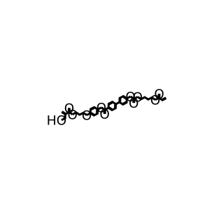 C=CC(=O)OCCCCOC(=O)Oc1ccc(-c2ccc(C(=O)Oc3ccc(OCCCOC(=O)C(=C)CO)cc3)cc2)cc1